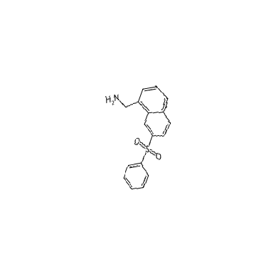 NCc1cccc2ccc(S(=O)(=O)c3ccccc3)cc12